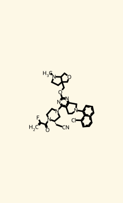 C=C(F)C(=O)N1CCN(c2nc(OCC34CCN(C)C3COC4)nc3c2CCN(c2cccc4cccc(Cl)c24)C3)C[C@@H]1CC#N